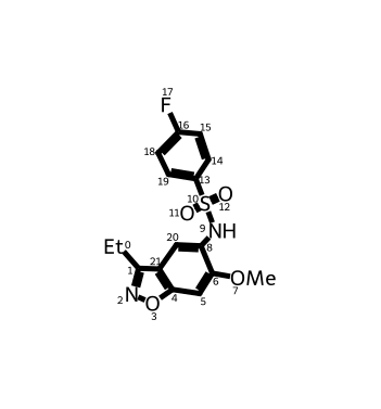 CCc1noc2cc(OC)c(NS(=O)(=O)c3ccc(F)cc3)cc12